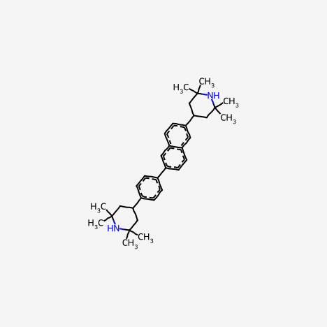 CC1(C)CC(c2ccc(-c3ccc4cc(C5CC(C)(C)NC(C)(C)C5)ccc4c3)cc2)CC(C)(C)N1